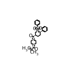 CN(C)C(=O)N1CCN(C(=O)[C@@H]2CC[C@H](c3ccccc3)N(S(=O)(=O)c3ccccc3)C2)CC1